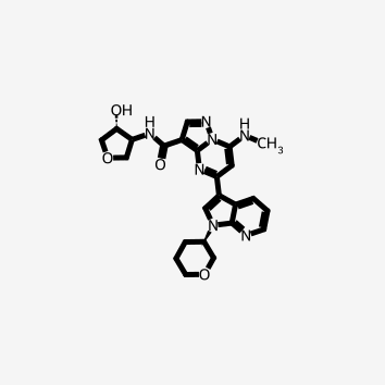 CNc1cc(-c2cn([C@@H]3CCCOC3)c3ncccc23)nc2c(C(=O)NC3COC[C@@H]3O)cnn12